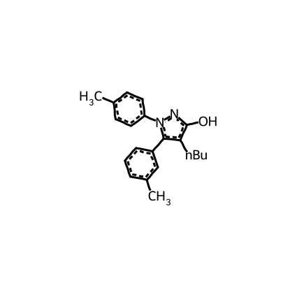 CCCCc1c(O)nn(-c2ccc(C)cc2)c1-c1cccc(C)c1